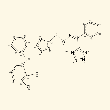 Cn1nnnc1/C(=N\OCc1nnc(-c2ccccc2Oc2cccc(Cl)c2Cl)o1)c1ccccc1